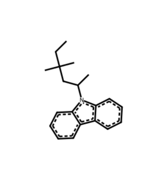 CCC(C)(C)CC(C)n1c2ccccc2c2ccccc21